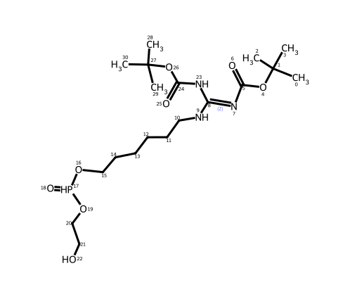 CC(C)(C)OC(=O)/N=C(/NCCCCCCO[PH](=O)OCCO)NC(=O)OC(C)(C)C